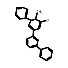 CC1C(Cl)=CC(c2cccc(-c3ccccc3)c2)=CC1c1ccccc1